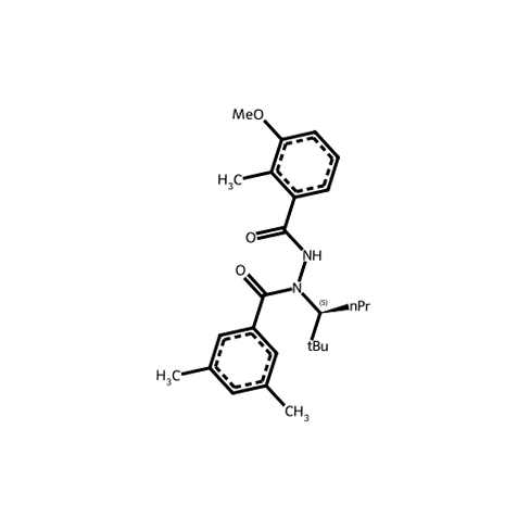 CCC[C@H](N(NC(=O)c1cccc(OC)c1C)C(=O)c1cc(C)cc(C)c1)C(C)(C)C